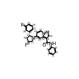 O=C(Nc1ccccc1)c1cnn2ccc(N3C[C@@H](F)C[C@@H]3c3cccc(F)c3)cc12